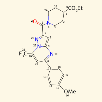 CCOC(=O)C1CCN(C(=O)c2cc3nc(-c4ccc(OC)cc4)cc(C(F)(F)F)n3n2)CC1